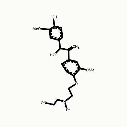 C=C(c1ccc(OCCN(CC)CCN=O)c(OC)c1)C(O)c1ccc(O)c(OC)c1